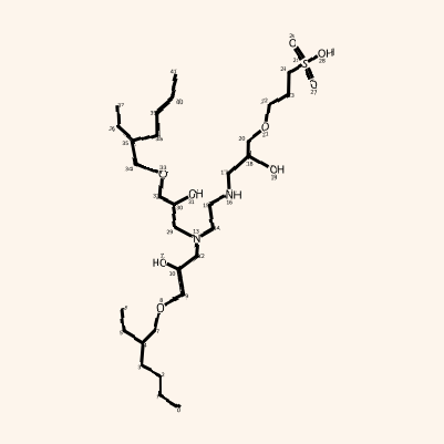 CCCCC(CC)COCC(O)CN(CCNCC(O)COCCCS(=O)(=O)O)CC(O)COCC(CC)CCCC